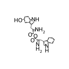 N[C@@H](Cc1c[nH]c2ccccc12)C(=O)OC(=O)[C@@H](N)Cc1c[nH]c2ccc(O)cc12